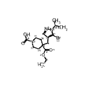 CCOC(=O)C1(Cc2cnn(C(C)C)c2Br)CCN(C(=O)O)CC1